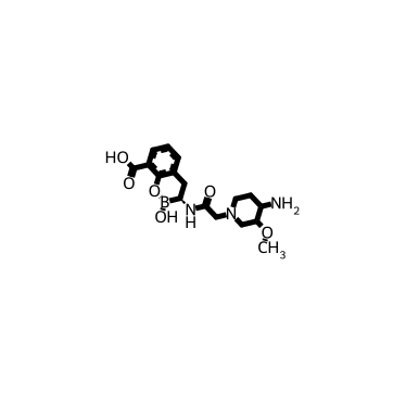 COC1CN(CC(=O)N[C@H]2Cc3cccc(C(=O)O)c3OB2O)CCC1N